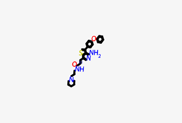 Nc1ncc(/C=C/C(=O)NCCCN2CCCCC2)c2scc(-c3ccc(Oc4ccccc4)cc3)c12